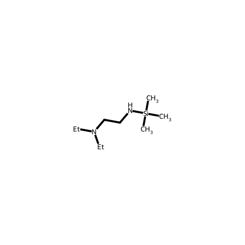 CCN(CC)CCN[Si](C)(C)C